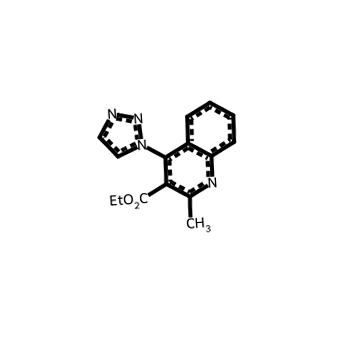 CCOC(=O)c1c(C)nc2ccccc2c1-n1ccnn1